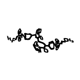 CCCCS(=O)(=O)N1CCC(C(CCC(CCC2CCN(S(=O)(=O)CCC)CC2)C(=O)c2ncco2)C(=O)c2ncco2)CC1